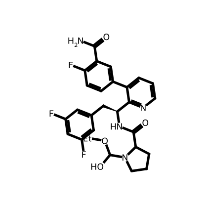 CCOC(O)N1CCCC1C(=O)N[C@@H](Cc1cc(F)cc(F)c1)c1ncccc1-c1ccc(F)c(C(N)=O)c1